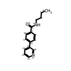 CCCCNC(=O)c1ccc(-c2cccnc2)cc1